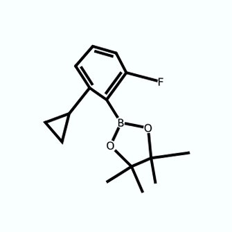 CC1(C)OB(c2c(F)cccc2C2CC2)OC1(C)C